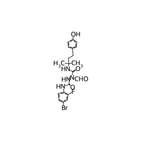 CC(C)(CCc1ccc(O)cc1)NC(=O)N(C=O)NC(=O)Nc1ccc(Br)cc1F